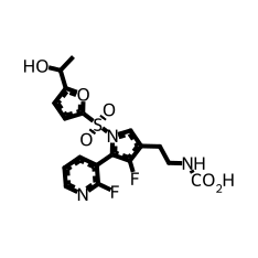 CC(O)c1ccc(S(=O)(=O)n2cc(CCNC(=O)O)c(F)c2-c2cccnc2F)o1